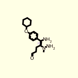 CN(N)/C(CCC=O)=C(\N)c1ccc(OC2CCCCC2)cc1